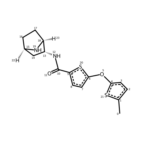 Cc1ccc(Oc2ccc(C(=O)N[C@@H]3C[C@H]4CC[C@@H]3N4)s2)s1